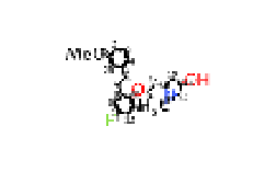 COc1cccc(CCc2cc(F)ccc2OCC[C@@H]2C[C@@H](O)CN2C)c1